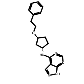 c1ccc(CCO[C@H]2CC[C@H](Nc3ncnc4[nH]ncc34)C2)cc1